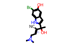 CN(C)C/C=C(\C#N)C(C)(O)c1cc2cc(O)c(Br)cc2[nH]1